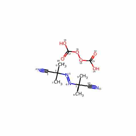 CC(C)(C#N)N=NC(C)(C)C#N.O=C(O)OOC(=O)O